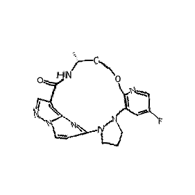 C[C@@H]1CCOc2ncc(F)cc2N2CCCN2c2ccn3ncc(c3n2)C(=O)N1